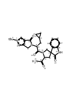 CC(C)(C)n1cc2c(n1)CN([C@@H](CC1CC1)C(=O)N1CC3(CC1C(N)=O)C(=O)Nc1ccccc13)C2=O